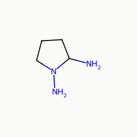 NC1CCCN1N